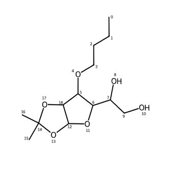 CCCCOC1C(C(O)CO)OC2OC(C)(C)OC21